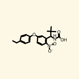 CCc1ccc(Oc2ccc([N+](=O)[O-])c(C(NC(=O)O)C(C)(C)C)c2)cc1